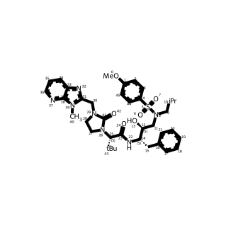 COc1ccc(S(=O)(=O)N(CC(C)C)C[C@H](O)[C@H](Cc2ccccc2)NC(=O)[C@@H](N2CCN(Cc3nc4cccnc4n3C)C2=O)C(C)(C)C)cc1